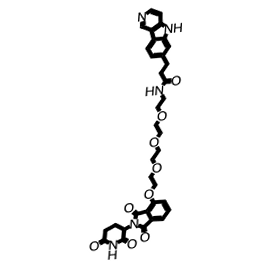 O=C(CCc1ccc2c(c1)[nH]c1ccncc12)NCCOCCOCCOCCOc1cccc2c1C(=O)N(C1CCC(=O)NC1=O)C2=O